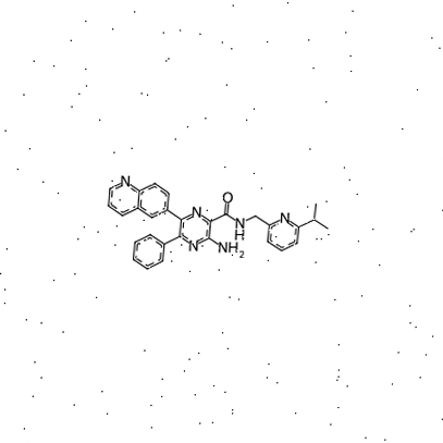 CC(C)c1cccc(CNC(=O)c2nc(-c3ccc4ncccc4c3)c(-c3ccccc3)nc2N)n1